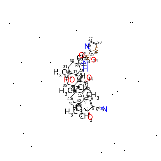 CC1(C)C(=O)C(C#N)=C[C@]2(C)C3=CC(=O)[C@]4(O)[C@@H]5C[C@@](C)(NS(=O)(=O)c6nccs6)CC[C@]5(C)CC[C@@]4(C)[C@]3(C)CC[C@@H]12